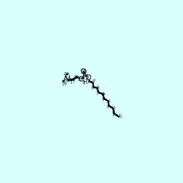 CCCCCCCCCCCCO[PH](=O)OCCN(C)C